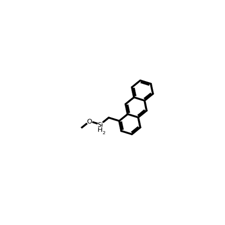 CO[SiH2]Cc1cccc2cc3ccccc3cc12